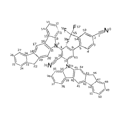 N#Cc1ccc(-c2cc(-n3c4ccccc4c4cc5c(cc43)Cc3ccccc3-5)c(C#N)c(-n3c4ccccc4c4cc5c(cc43)Cc3ccccc3-5)c2)c(C(F)(F)F)c1